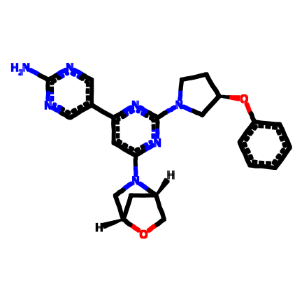 Nc1ncc(-c2cc(N3C[C@@H]4C[C@H]3CO4)nc(N3CC[C@@H](Oc4ccccc4)C3)n2)cn1